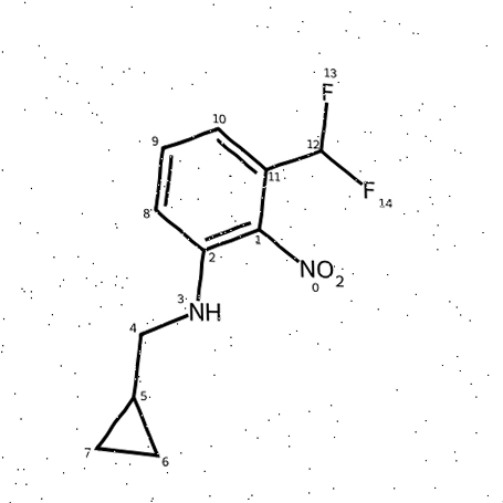 O=[N+]([O-])c1c(NCC2CC2)cccc1C(F)F